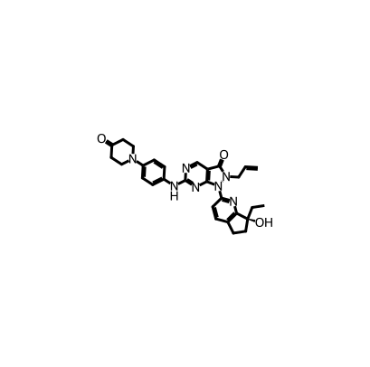 C=CCn1c(=O)c2cnc(Nc3ccc(N4CCC(=O)CC4)cc3)nc2n1-c1ccc2c(n1)[C@](O)(CC)CC2